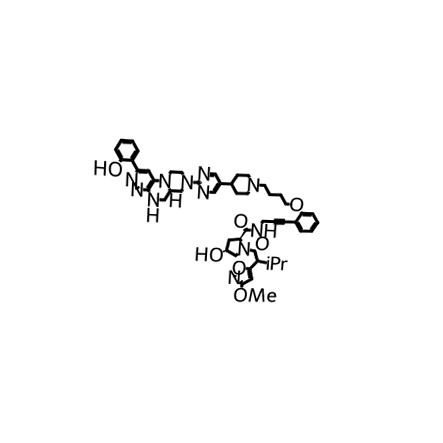 COc1cc(C(C(=O)N2C[C@H](O)C[C@H]2C(=O)NCC#Cc2ccccc2OCCCCN2CCC(c3cnc(N4CCN5c6cc(-c7ccccc7O)nnc6NC[C@H]5C4)nc3)CC2)C(C)C)on1